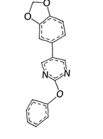 c1ccc(Oc2ncc(-c3ccc4c(c3)OCO4)cn2)cc1